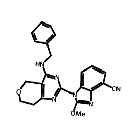 COc1nc2c(C#N)cccc2n1-c1nc2c(c(NCc3ccccc3)n1)COCC2